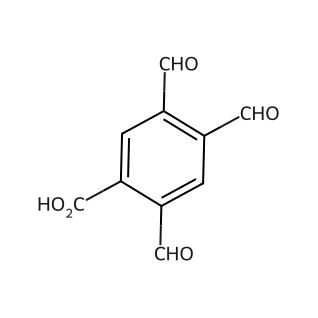 O=Cc1cc(C=O)c(C(=O)O)cc1C=O